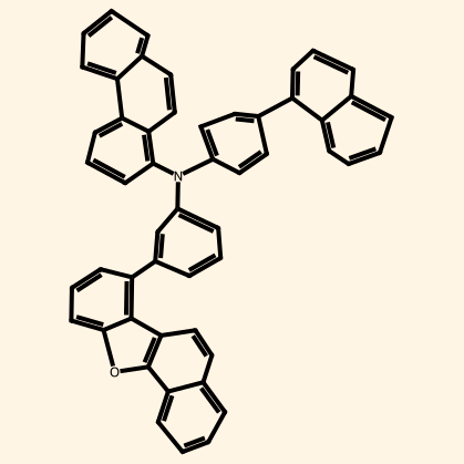 c1cc(-c2cccc3oc4c5ccccc5ccc4c23)cc(N(c2ccc(-c3cccc4ccccc34)cc2)c2cccc3c2ccc2ccccc23)c1